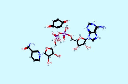 NC(=O)C1=CN([C@@H]2O[C@H](COP(=O)(O)OP(=O)(O)OC[C@H]3O[C@@H](n4cnc5c(N)ncnc54)[C@H](O)[C@@H]3O)[C@@H](O)[C@H]2O)C=CC1.O=C1C=CC(=O)C=C1